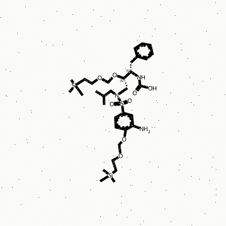 CC(C)CN(C[C@H](OCOCC[Si](C)(C)C)[C@H](Cc1ccccc1)NC(=O)O)S(=O)(=O)c1ccc(OCOCC[Si](C)(C)C)c(N)c1